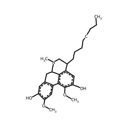 CCCCCCCCC1CN(C)C2Cc3cc(O)c(OC)cc3-c3c(OC)c(O)cc1c32